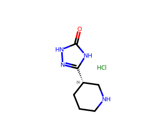 Cl.O=c1[nH]nc([C@H]2CCCNC2)[nH]1